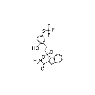 NC(=O)c1cc2ccccc2n1S(=O)(=O)CCc1cc(SC(F)(F)F)ccc1O